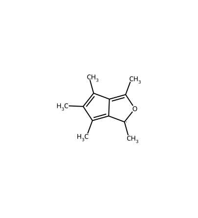 C[C]1OC(C)=C2C(C)=C(C)C(C)=C12